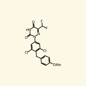 COc1ccc(Cc2c(Cl)cc(-n3nc(C(F)F)c(=O)[nH]c3=O)cc2Cl)cc1